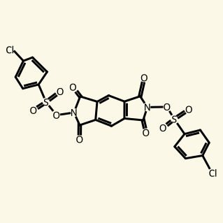 O=c1c2cc3c(=O)n(OS(=O)(=O)c4ccc(Cl)cc4)c(=O)c3cc2c(=O)n1OS(=O)(=O)c1ccc(Cl)cc1